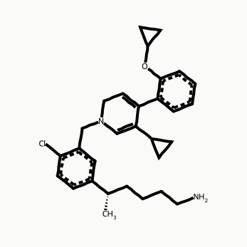 C[C@@H](CCCCN)c1ccc(Cl)c(CN2C=C(C3CC3)C(c3ccccc3OC3CC3)=CC2)c1